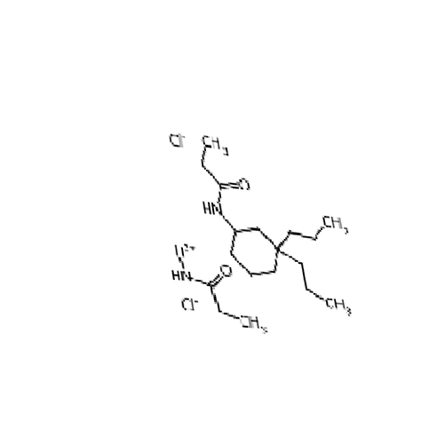 CCC(=O)[NH][Ti+2].CCCC1(CCC)CCCC(NC(=O)CC)C1.[Cl-].[Cl-]